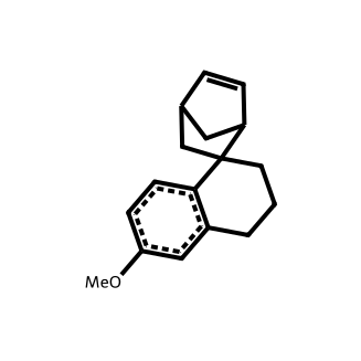 COc1ccc2c(c1)CCCC21CC2C=CC1C2